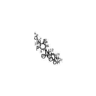 CCOC1CN(c2c(F)cc(N3C[C@@H](CN(C(=O)O)C(C)(C)C)OC3=O)cc2F)C1